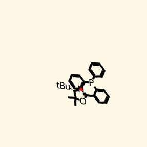 CC(C)(C)[C@@H]1N=C(c2ccccc2P(c2ccccc2)c2ccccc2)OC1(C)C